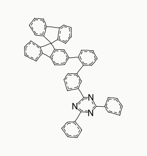 c1ccc(-c2nc(-c3ccccc3)nc(-c3cccc(-c4ccccc4-c4ccc5c(c4)C4(c6ccccc6-c6ccccc64)c4ccccc4-5)c3)n2)cc1